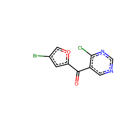 O=C(c1cc(Br)co1)c1cncnc1Cl